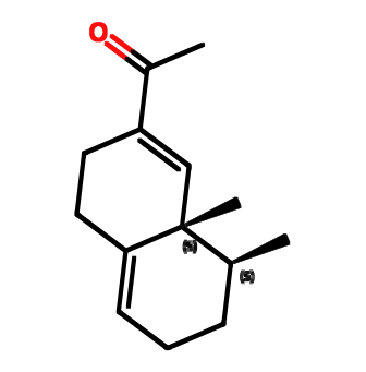 CC(=O)C1=C[C@@]2(C)C(=CCC[C@@H]2C)CC1